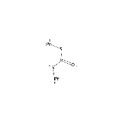 CC(C)SC(=O)SC(C)C